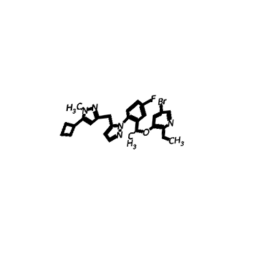 CCc1ncc(Br)cc1O[C@H](C)c1cc(F)ccc1-n1nccc1Cc1cc(C2CCC2)n(C)n1